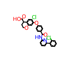 O=C(Nc1cccc(-c2ccccc2Cl)n1)c1ccc(Oc2cc3c(cc2Cl)C(C(=O)O)CCO3)cc1